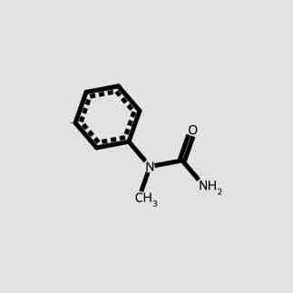 CN(C(N)=O)c1c[c]ccc1